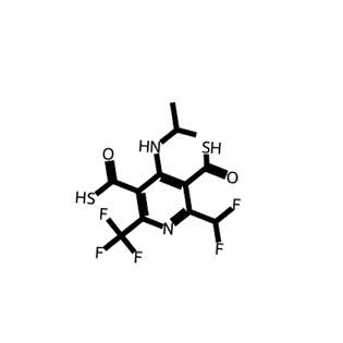 CC(C)Nc1c(C(=O)S)c(C(F)F)nc(C(F)(F)F)c1C(=O)S